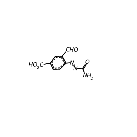 NC(=O)/N=N/c1ccc(C(=O)O)cc1C=O